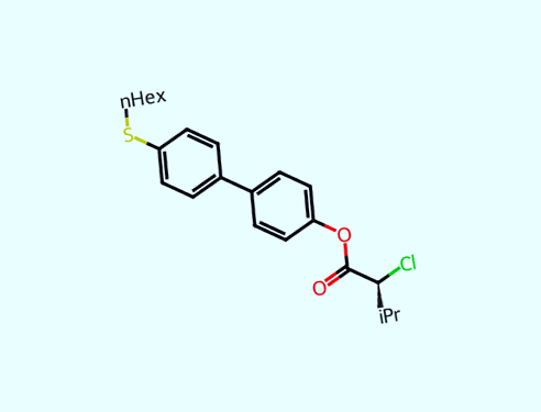 CCCCCCSc1ccc(-c2ccc(OC(=O)[C@@H](Cl)C(C)C)cc2)cc1